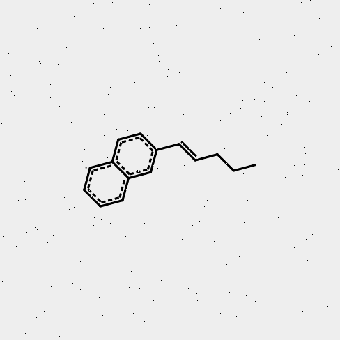 CCCC=Cc1ccc2[c]cccc2c1